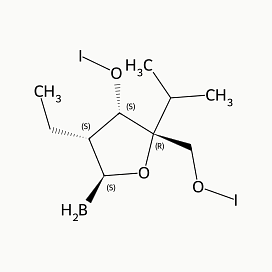 B[C@@H]1O[C@@](COI)(C(C)C)[C@@H](OI)[C@H]1CC